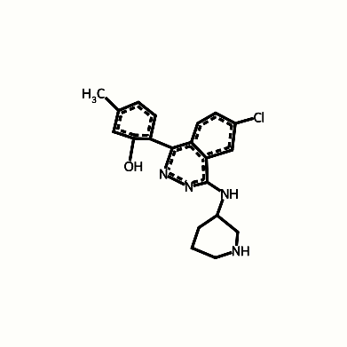 Cc1ccc(-c2nnc(NC3CCCNC3)c3cc(Cl)ccc23)c(O)c1